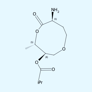 CC(C)C(=O)O[C@@H]1COCC[C@H](N)C(=O)O[C@H]1C